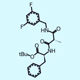 C[C@@H](C(=O)NCc1cc(F)cc(F)c1)C(=O)N[C@@H](Cc1ccccc1)C(=O)OC(C)(C)C